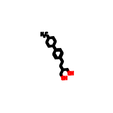 CC1CCC(c2ccc(CCC(CO)CO)cc2)CC1